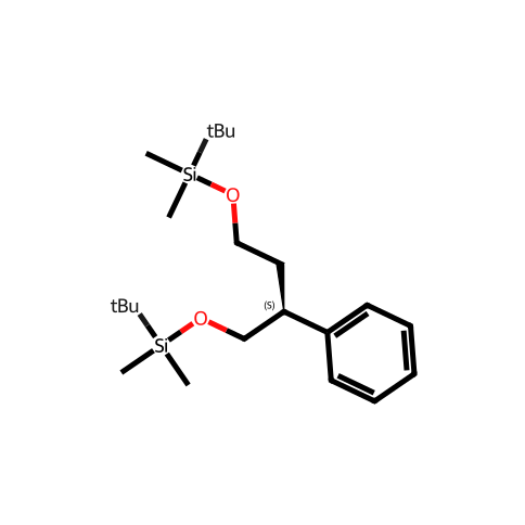 CC(C)(C)[Si](C)(C)OCC[C@H](CO[Si](C)(C)C(C)(C)C)c1ccccc1